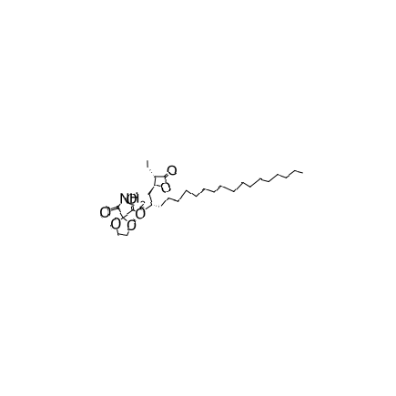 CCCCCCCCCCCCCCCCC[C@@H](C[C@@H]1OC(=O)[C@H]1CC)OC(=O)C1(C(N)=O)OCCO1